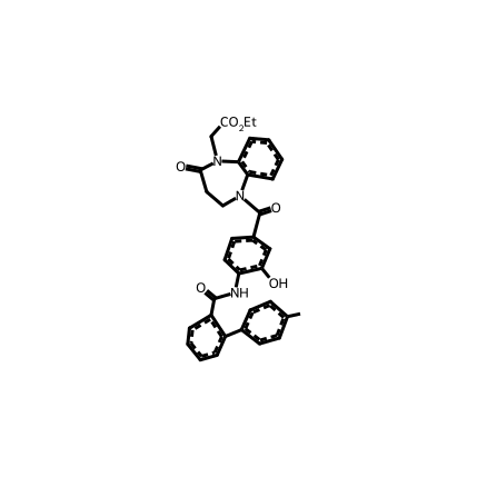 CCOC(=O)CN1C(=O)CCN(C(=O)c2ccc(NC(=O)c3ccccc3-c3ccc(C)cc3)c(O)c2)c2ccccc21